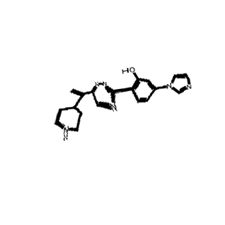 C=C(c1cnc(-c2ccc(-n3ccnc3)cc2O)nn1)C1CCNCC1